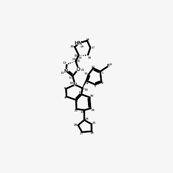 Fc1ccc([C@H]2C3=C(CCN2C2=NC[C@H]([C@H]4CCCNC4)O2)CC(C2CCCC2)C=C3)cc1